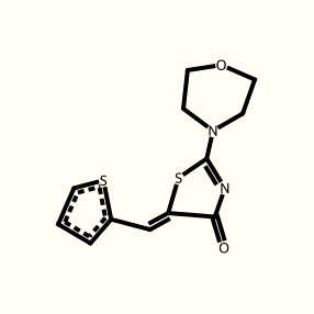 O=C1N=C(N2CCOCC2)SC1=Cc1cccs1